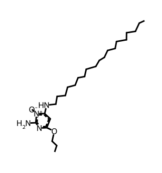 CCCCCCCCCCCCCCCCCCCNc1cc(OCCC)nc(N)[n+]1[O-]